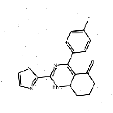 O=C1CCCC2NC(c3nccs3)=NC(c3ccc(F)cc3)=C12